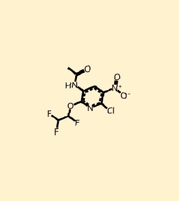 CC(=O)Nc1cc([N+](=O)[O-])c(Cl)nc1OC(F)C(F)F